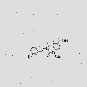 CC(c1cccc(CO)n1)N(CCc1cccc(Br)c1)C(=O)OC(C)(C)C